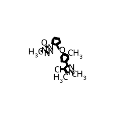 Cc1cc(-c2nn(C)c(C)c2Cl)ccc1OCc1ccccc1-n1nnn(C)c1=O